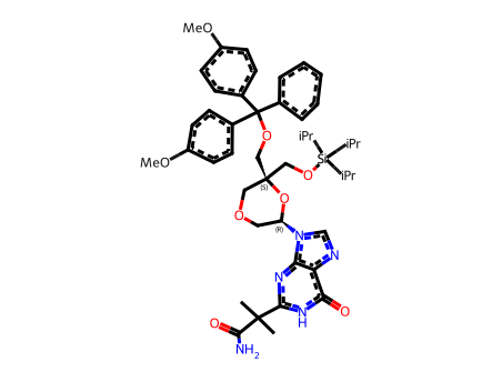 COc1ccc(C(OC[C@]2(CO[Si](C(C)C)(C(C)C)C(C)C)COC[C@H](n3cnc4c(=O)[nH]c(C(C)(C)C(N)=O)nc43)O2)(c2ccccc2)c2ccc(OC)cc2)cc1